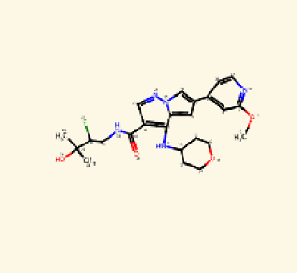 COc1cc(-c2cc3c(NC4CCOCC4)c(C(=O)NCC(F)C(C)(C)O)cnn3c2)ccn1